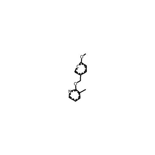 COc1ccc(COc2ncccc2C)cc1